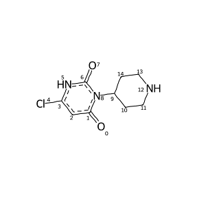 O=c1cc(Cl)[nH]c(=O)n1C1CCNCC1